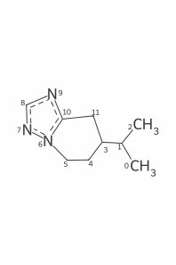 CC(C)C1CCn2ncnc2C1